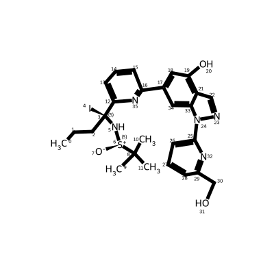 CCC[C@@](I)(N[S@+]([O-])C(C)(C)C)c1cccc(-c2cc(O)c3cnn(-c4cccc(CO)n4)c3c2)n1